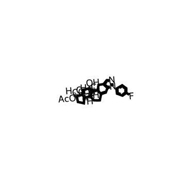 CC(=O)O[C@@]1(C(=O)O)CC[C@@H]2[C@H]3CCC4=Cc5c(cnn5-c5ccc(F)cc5)C[C@@]4(C)[C@@H]3[C@H](O)C[C@]21C